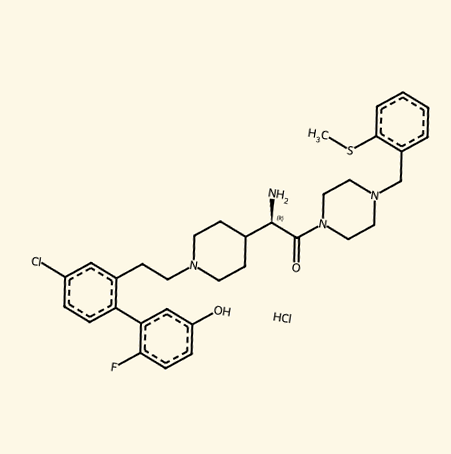 CSc1ccccc1CN1CCN(C(=O)[C@H](N)C2CCN(CCc3cc(Cl)ccc3-c3cc(O)ccc3F)CC2)CC1.Cl